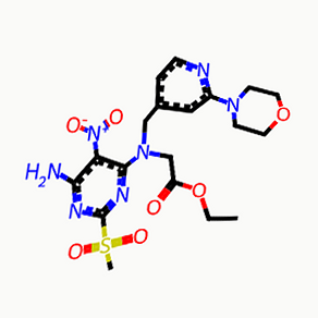 CCOC(=O)CN(Cc1ccnc(N2CCOCC2)c1)c1nc(S(C)(=O)=O)nc(N)c1[N+](=O)[O-]